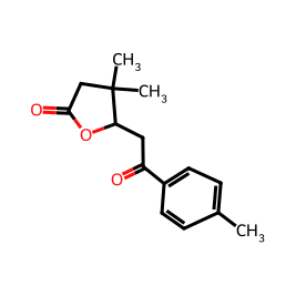 Cc1ccc(C(=O)CC2OC(=O)CC2(C)C)cc1